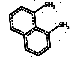 [SiH3]c1cccc2cccc([SiH3])c12